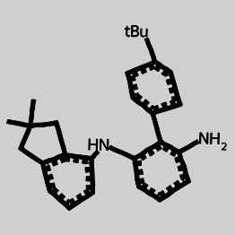 CC1(C)Cc2cccc(Nc3cccc(N)c3-c3ccc(C(C)(C)C)cc3)c2C1